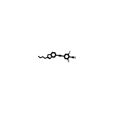 CCCCC1=Cc2cc(C#Cc3cc(F)c(C#N)c(F)c3)ccc2C1